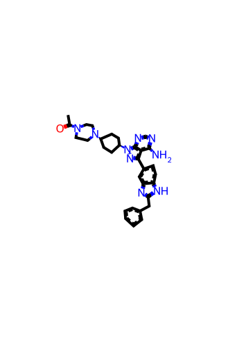 CC(=O)N1CCN([C@H]2CC[C@H](n3nc(-c4ccc5[nH]c(Cc6ccccc6)nc5c4)c4c(N)ncnc43)CC2)CC1